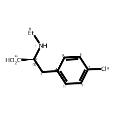 CCN[C@@H](Cc1ccc(Cl)cc1)C(=O)O